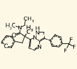 CCN(C)C(=O)C(C)(Cc1ccccc1)C1=CC=NC2=C(c3ccc(C(F)(F)F)cc3)CNN12